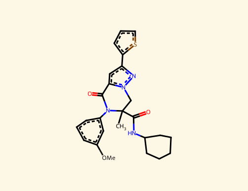 COc1cccc(N2C(=O)c3cc(-c4cccs4)nn3CC2(C)C(=O)NC2CCCCC2)c1